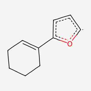 [c]1ccc(C2=CCCCC2)o1